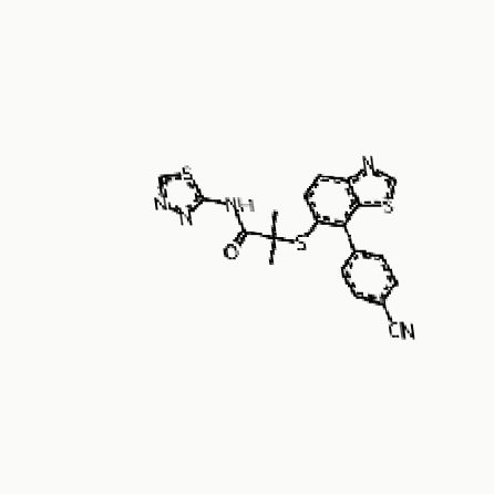 CC(C)(Sc1ccc2ncsc2c1-c1ccc(C#N)cc1)C(=O)Nc1nncs1